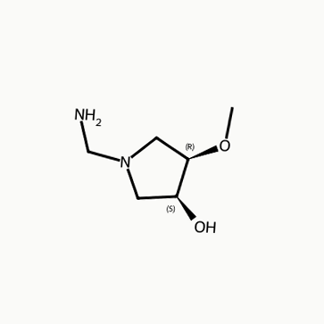 CO[C@@H]1CN(CN)C[C@@H]1O